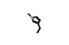 CCc1ccn(C)c1